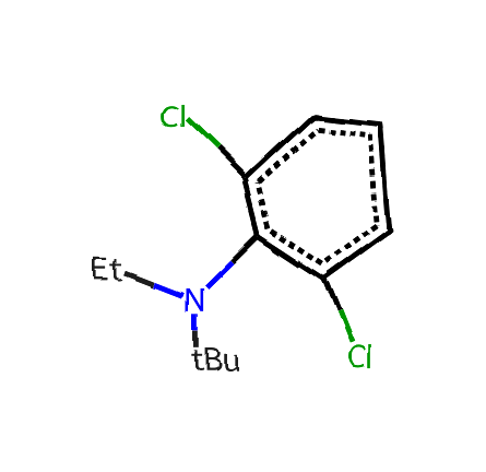 CCN(c1c(Cl)cccc1Cl)C(C)(C)C